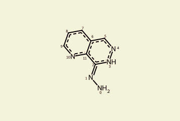 N/N=c1\[nH]ncc2cccnc12